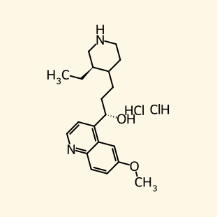 CC[C@H]1CNCCC1CC[C@H](O)c1ccnc2ccc(OC)cc12.Cl.Cl